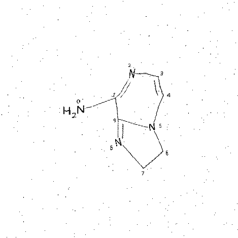 NC1=NC=CN2CCN=C12